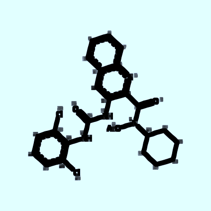 CC(=O)ON(C(=O)c1nc2ccccc2cc1NC(=O)Nc1c(Cl)cccc1Cl)C1CCCCC1